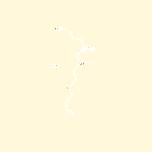 CCCO[PH](=O)ONCCNCCN.[NaH]